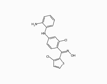 Nc1ccccc1Nc1ccc(C(=NO)c2sccc2Cl)c(Cl)c1